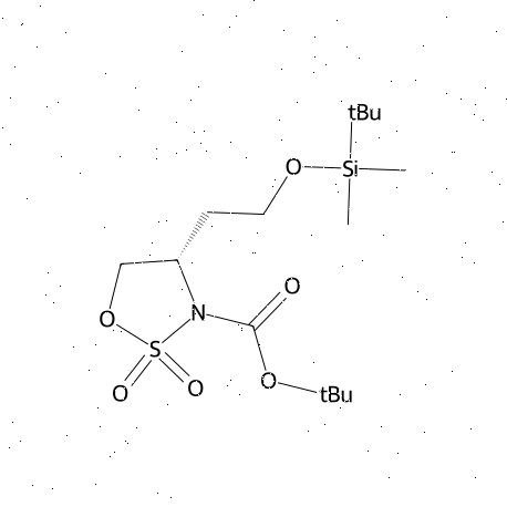 CC(C)(C)OC(=O)N1[C@@H](CCO[Si](C)(C)C(C)(C)C)COS1(=O)=O